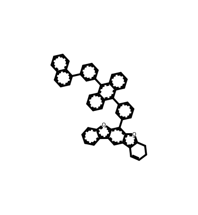 C1=Cc2c(oc3c(-c4cccc(-c5c6ccccc6c(-c6cccc(-c7cccc8ccccc78)c6)c6ccccc56)c4)c4oc5ccccc5c4cc23)CC1